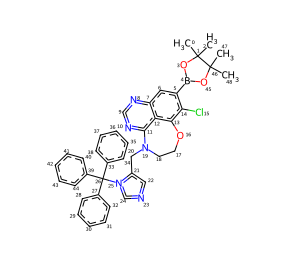 CC1(C)OB(c2cc3ncnc4c3c(c2Cl)OCCN4Cc2cncn2C(c2ccccc2)(c2ccccc2)c2ccccc2)OC1(C)C